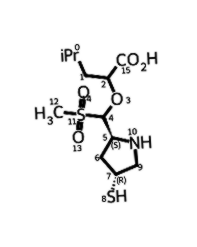 CC(C)CC(OC([C@@H]1C[C@@H](S)CN1)S(C)(=O)=O)C(=O)O